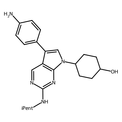 CCCC(C)Nc1ncc2c(-c3ccc(N)cc3)cn(C3CCC(O)CC3)c2n1